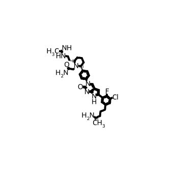 CC(=N)NCC[C@@H]1CCC[C@@H](c2ccc(-n3cc4cc(-c5cc(CCC[C@H](C)N)cc(Cl)c5F)[nH]c4nc3=O)cc2)N1CC(N)=O